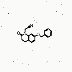 N#CCN1C(=O)CCc2ccc(OCc3ccccc3)cc21